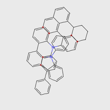 c1ccc(-c2ccc(N(c3ccccc3-c3cccc4cccc(C5CCCCC5)c34)c3ccccc3-c3cccc4c5ccccc5n(-c5ccccc5)c34)cc2)cc1